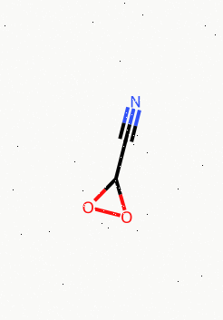 N#CC1OO1